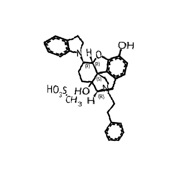 CS(=O)(=O)O.Oc1ccc2c3c1O[C@H]1[C@H](N4CCc5ccccc54)CCC4(O)[C@@H](C2)N(CCc2ccccc2)CC[C@]314